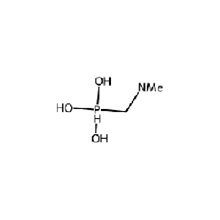 CNC[PH](O)(O)O